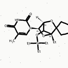 CC[C@]12O[C@@H](n3cc(C)c(=O)[nH]c3=O)[C@@H](OC13CCCC3)C2O[Si](CC)(CC)CC